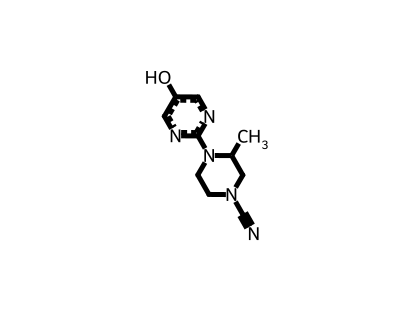 CC1CN(C#N)CCN1c1ncc(O)cn1